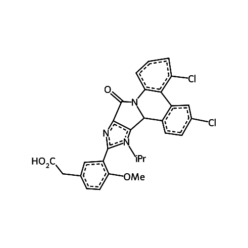 COc1ccc(CC(=O)O)cc1-c1nc2c(n1C(C)C)C1c3ccc(Cl)cc3-c3c(Cl)cccc3N1C2=O